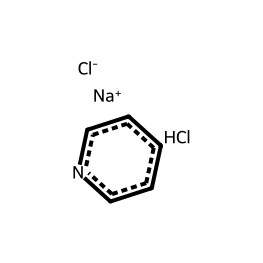 Cl.[Cl-].[Na+].c1ccncc1